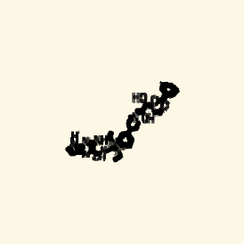 CCn1c(CNC(=O)c2nc3cc[nH]c3nc2N)[n+](CC)c2ccc(C3CCN(C[C@H](O)[C@@H](O)[C@H]4CCOC(c5ccccc5)O4)CC3)cc21